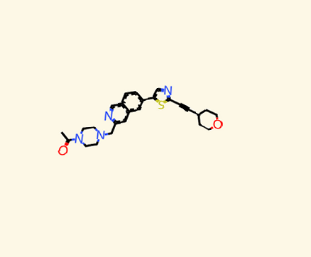 CC(=O)N1CCN(Cc2cc3cc(-c4cnc(C#CC5CCOCC5)s4)ccc3cn2)CC1